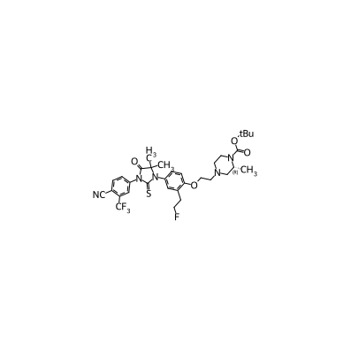 C[C@@H]1CN(CCOc2ccc(N3C(=S)N(c4ccc(C#N)c(C(F)(F)F)c4)C(=O)C3(C)C)cc2CCF)CCN1C(=O)OC(C)(C)C